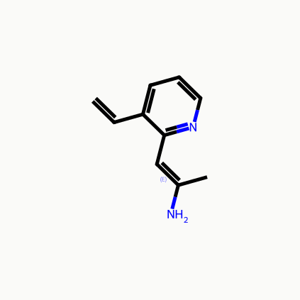 C=Cc1cccnc1/C=C(\C)N